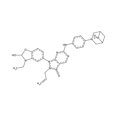 C=CCn1c(=O)c2cnc(Nc3ccc(N4CC5CC(C4)N5C)cc3)nc2n1-c1ccc2c(c1)N(CC)C(O)O2